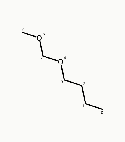 CCCCOCOC